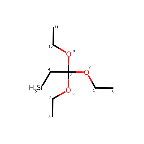 CCOC(C[SiH3])(OCC)OCC